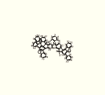 Cc1cccc(C)c1N(c1ccc2c(c1)C(C)(C)c1cc(-c3ccccc3)c3oc4ccccc4c3c1-2)c1ccc2c(c1)C1(C)c3ccccc3C3(c4ccccc4)c4ccccc4-c4c3c1c-2c1c4oc2ccccc21